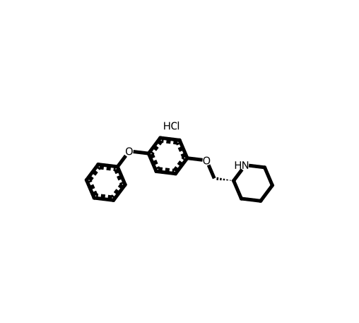 Cl.c1ccc(Oc2ccc(OC[C@H]3CCCCN3)cc2)cc1